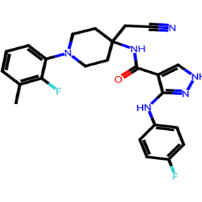 Cc1cccc(N2CCC(CC#N)(NC(=O)c3c[nH]nc3Nc3ccc(F)cc3)CC2)c1F